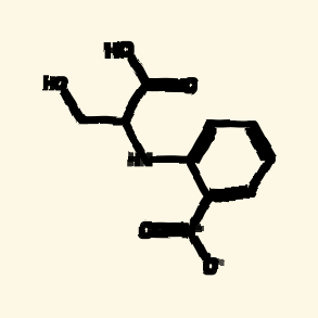 O=C(O)C(CO)Nc1ccccc1[N+](=O)[O-]